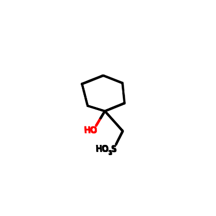 O=S(=O)(O)CC1(O)CCCCC1